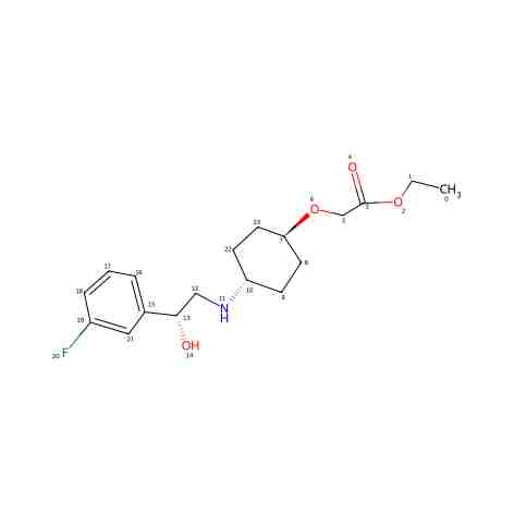 CCOC(=O)CO[C@H]1CC[C@H](NC[C@H](O)c2cccc(F)c2)CC1